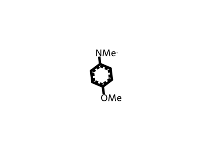 C[N]c1ccc(OC)cc1